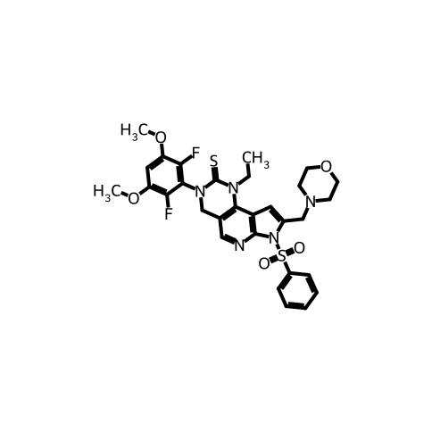 CCN1C(=S)N(c2c(F)c(OC)cc(OC)c2F)Cc2cnc3c(cc(CN4CCOCC4)n3S(=O)(=O)c3ccccc3)c21